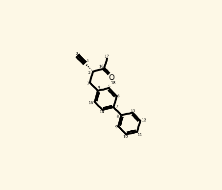 C#C[C@@H](Cc1ccc(-c2ccccc2)cc1)C(C)=O